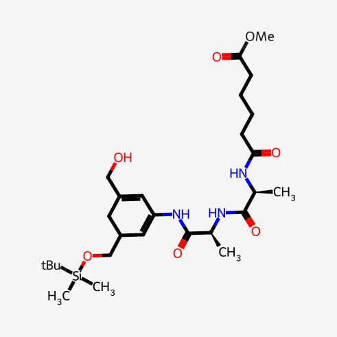 COC(=O)CCCCC(=O)N[C@@H](C)C(=O)N[C@@H](C)C(=O)NC1=CC(CO[Si](C)(C)C(C)(C)C)CC(CO)=C1